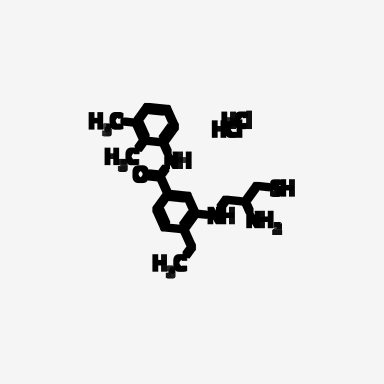 CCc1ccc(C(=O)Nc2cccc(C)c2C)cc1NCC(N)CS.Cl.Cl